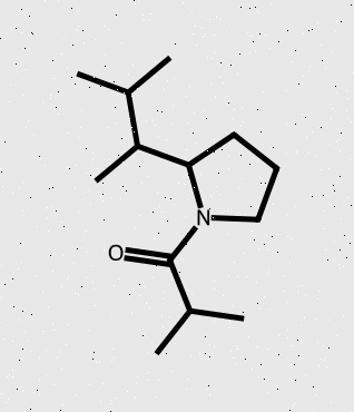 CC(C)C(=O)N1CCCC1C(C)C(C)C